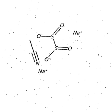 CC#N.O=S([O-])S(=O)[O-].[Na+].[Na+]